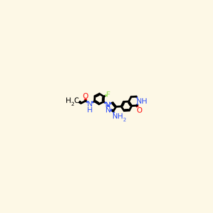 C=CC(=O)Nc1ccc(F)c(-n2cc(-c3ccc4c(c3)CCNC4=O)c(N)n2)c1